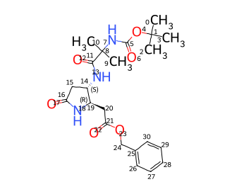 CC(C)(C)OC(=O)NC(C)(C)C(=O)N[C@H]1CC(=O)N[C@@H]1CC(=O)OCc1ccccc1